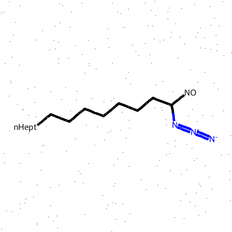 CCCCCCCCCCCCCCC(N=O)N=[N+]=[N-]